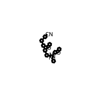 N#Cc1ccc(-c2cccc(-c3ccc4c5ccc(-c6cccc(-c7nc(-c8ccccc8)nc(-c8ccc9c(c8)oc8ccccc89)n7)c6)cc5c5oc6ccccc6c5c4c3)c2)cc1